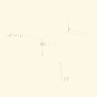 C=C(C)C(=O)O.CCCCCCCCS